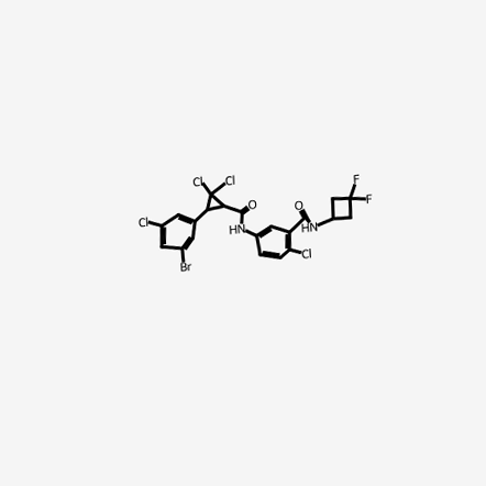 O=C(NC1CC(F)(F)C1)c1cc(NC(=O)C2C(c3cc(Cl)cc(Br)c3)C2(Cl)Cl)ccc1Cl